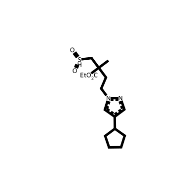 CCOC(=O)C(C)(CCn1cc(C2CCCC2)cn1)C[SH](=O)=O